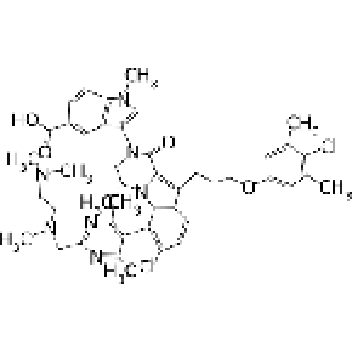 Cc1cc(OCCCc2c3n(c4c(-c5c(C)nc(CN(C)CCN(C)C)nc5C)c(Cl)ccc24)[C@H](C)CN(c2cn(C)c4ccc(C(=O)O)cc24)C3=O)cc(C)c1Cl